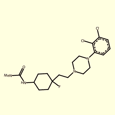 CNC(=O)NC1CCC(F)(CCN2CCN(c3cccc(Cl)c3Cl)CC2)CC1